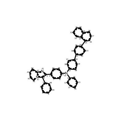 c1ccc(-c2c(-c3ccc(N(c4ccccc4)c4ccc(-c5ccc(-c6cccc7ccccc67)cc5)cc4)cc3)nc3ccccn23)cc1